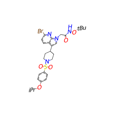 CC(C)Oc1ccc(S(=O)(=O)N2CCC(c3cn(CC(=O)NOC(C)(C)C)c4nc(Br)ccc34)CC2)cc1